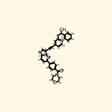 CC(Cc1cc(C#Cc2cnc3ccc(-c4ccc(C(=O)N5CCOCC5)cc4)nn23)ccn1)c1ccccc1